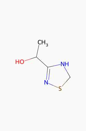 CC(O)C1=NSCN1